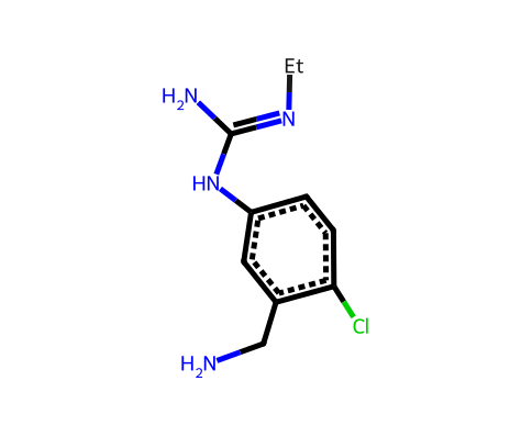 CCN=C(N)Nc1ccc(Cl)c(CN)c1